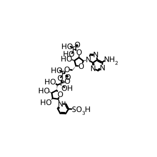 Nc1ncnc2c1ncn2[C@@H]1O[C@H](COP(=O)(O)OP(=O)(O)C(O)[C@@H]2O[C@@H]([n+]3cccc(S(=O)(=O)O)c3)[C@H](O)[C@@H]2O)[C@@H](O)[C@H]1OP(=O)(O)O